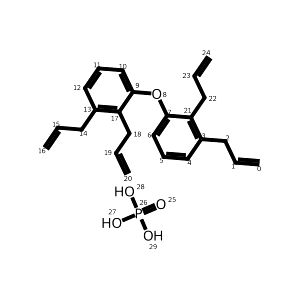 C=CCc1cccc(Oc2cccc(CC=C)c2CC=C)c1CC=C.O=P(O)(O)O